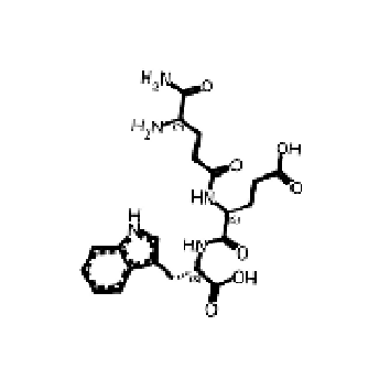 NC(=O)[C@H](N)CCC(=O)N[C@@H](CCC(=O)O)C(=O)N[C@@H](Cc1c[nH]c2ccccc12)C(=O)O